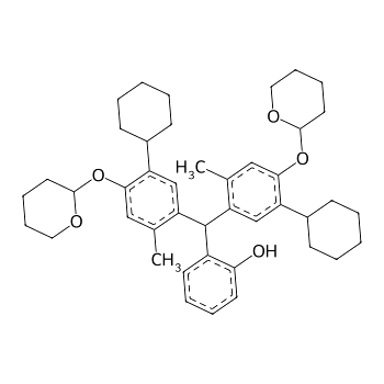 Cc1cc(OC2CCCCO2)c(C2CCCCC2)cc1C(c1cc(C2CCCCC2)c(OC2CCCCO2)cc1C)c1ccccc1O